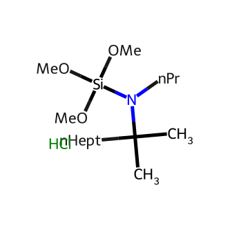 CCCCCCCC(C)(C)N(CCC)[Si](OC)(OC)OC.Cl